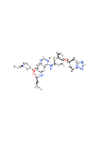 CC#CC(=O)Nc1cc2c(Nc3ccc(Oc4ccn5ncnc5c4)c(C)c3F)ncnc2cc1OCCN(C)C